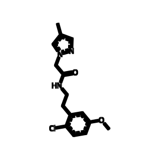 COc1ccc(Cl)c(CCNC(=O)Cn2cc(C)cn2)c1